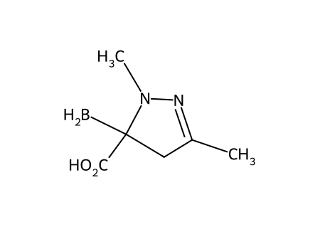 BC1(C(=O)O)CC(C)=NN1C